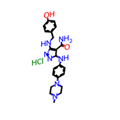 CN1CCN(c2ccc(NC3N=NC(NCc4ccc(O)cc4)=C3C(N)=O)cc2)CC1.Cl